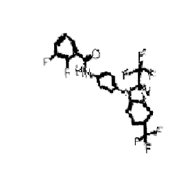 O=C(Nc1ccc(-n2c(C(F)(F)F)nc3c2=CCC(C(F)(F)F)C=3)cc1)c1cccc(F)c1F